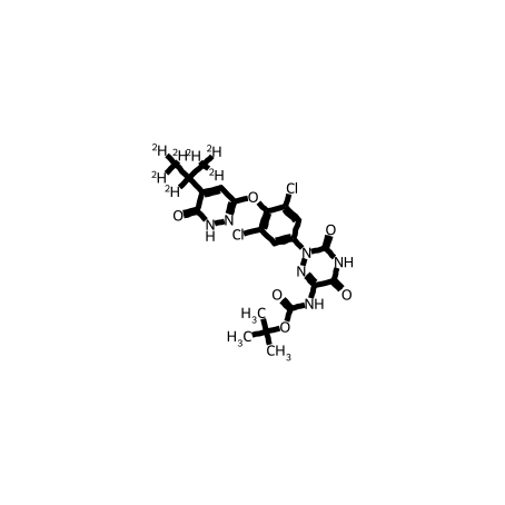 [2H]C([2H])([2H])C([2H])(c1cc(Oc2c(Cl)cc(-n3nc(NC(=O)OC(C)(C)C)c(=O)[nH]c3=O)cc2Cl)n[nH]c1=O)C([2H])([2H])[2H]